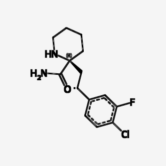 NC(=O)[C@@]1(C[CH]c2ccc(Cl)c(F)c2)CCCCN1